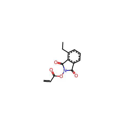 C=CC(=O)ON1C(=O)c2cccc(CC)c2C1=O